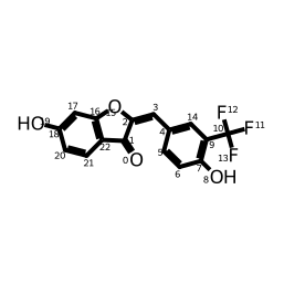 O=C1C(=Cc2ccc(O)c(C(F)(F)F)c2)Oc2cc(O)ccc21